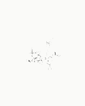 COCCN(CCOC)C(OCCC[Si](OC)(OC)OC)C(C)N(CC1(C)CC(N=C=O)CC(C)(C)C1)C(=O)O